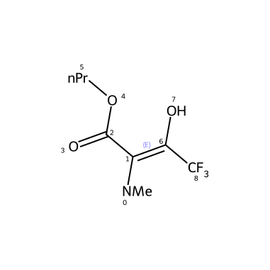 [CH2-][NH2+]/C(C(=O)OCCC)=C(/O)C(F)(F)F